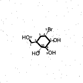 OC[C@H]1C[C@H](Br)[C@H](O)[C@@H](O)[C@@H]1O